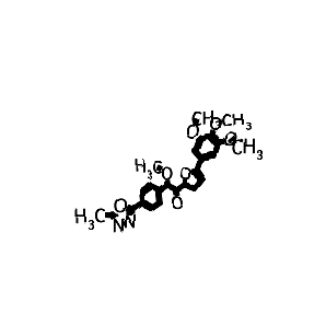 COc1cc(C2=CCC(C(=O)C(OC)c3ccc(-c4nnc(C)o4)cc3)O2)cc(OC)c1OC